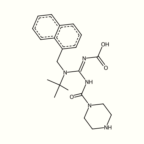 CC(C)(C)N(Cc1cccc2ccccc12)C(=NC(=O)O)NC(=O)N1CCNCC1